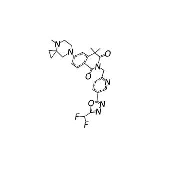 CN1CCN(c2ccc3c(c2)C(C)(C)C(=O)N(Cc2ccc(-c4nnc(C(F)F)o4)cn2)C3=O)CC12CC2